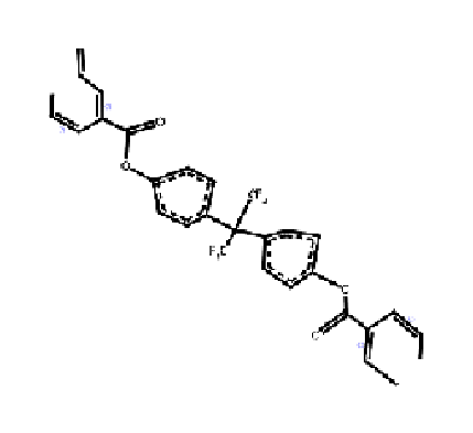 C=C/C=C(\C=C/C)C(=O)Oc1ccc(C(c2ccc(OC(=O)C(/C=C\C)=C/C)cc2)(C(F)(F)F)C(F)(F)F)cc1